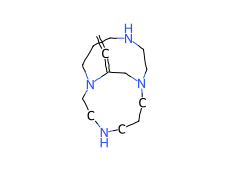 C=C=C1CN2CCCNCCN1CCCNCC2